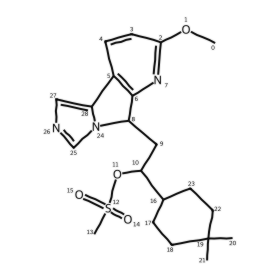 COc1ccc2c(n1)C(CC(OS(C)(=O)=O)C1CCC(C)(C)CC1)n1cncc1-2